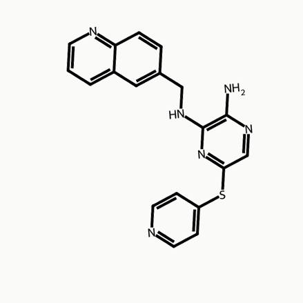 Nc1ncc(Sc2ccncc2)nc1NCc1ccc2ncccc2c1